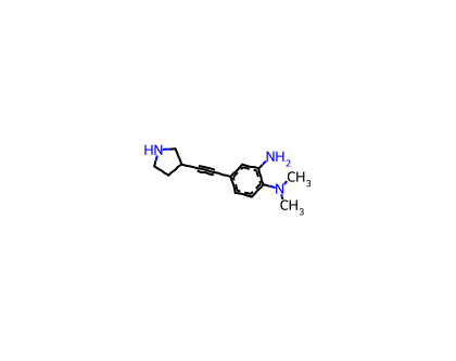 CN(C)c1ccc(C#CC2CCNC2)cc1N